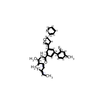 C=C(/C=C\C(F)=C/C)[C@@H](C)NC(=O)c1cc(C2=NO[C@H](c3ccccn3)C2)cc(-c2ccc(C)cc2F)c1